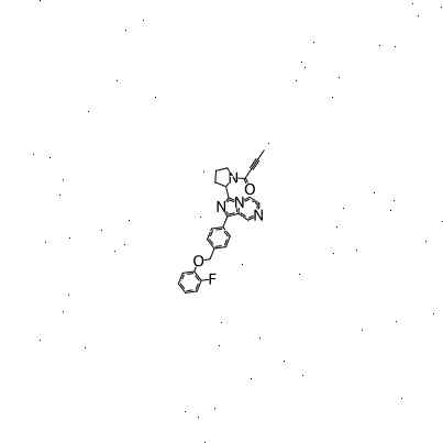 CC#CC(=O)N1CCCC1c1nc(-c2ccc(COc3ccccc3F)cc2)c2cnccn12